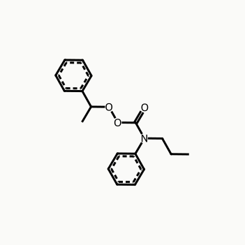 CCCN(C(=O)OOC(C)c1ccccc1)c1ccccc1